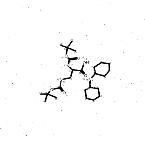 C1CCC(NC2CCCCC2)CC1.CC(C)(C)OC(=O)NCC(NC(=O)OC(C)(C)C)C(=O)O